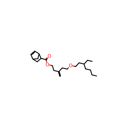 C=C(CCOCCC(CC)CCCC)CCOC(=O)C1CC2C=CC1C2